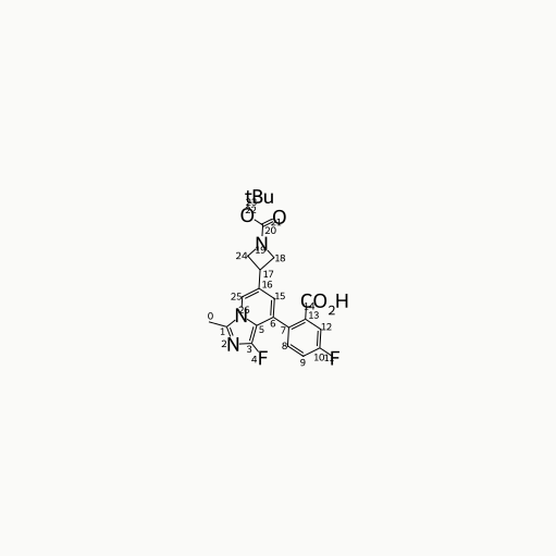 Cc1nc(F)c2c(-c3ccc(F)cc3C(=O)O)cc(C3CN(C(=O)OC(C)(C)C)C3)cn12